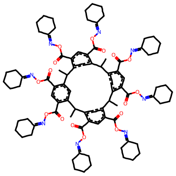 CC1c2cc(c(C(=O)ON=C3CCCCC3)cc2C(=O)ON=C2CCCCC2)C(C)c2cc(c(C(=O)ON=C3CCCCC3)cc2C(=O)ON=C2CCCCC2)C(C)c2cc(c(C(=O)ON=C3CCCCC3)cc2C(=O)ON=C2CCCCC2)C(C)c2cc1c(C(=O)ON=C1CCCCC1)cc2C(=O)ON=C1CCCCC1